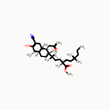 CCCC(C)(C)CC[C@@](C)(CCC(C)(C)[C@]1(C)CC[C@H]2[C@H](C)C(O)=C(C#N)C[C@]2(C)[C@H]1CC(C)=O)C(=O)OC